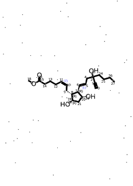 C#CC(O)(C/C=C/[C@@H]1[C@@H](C/C=C\CCCC(=O)OC)[C@H](O)C[C@H]1O)CCCC